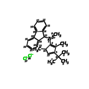 [CH2]=[Zr+2]([C]1=C(C)C(C(C)(C)C)=CC1C)[CH]1c2ccccc2-c2ccccc21.[Cl-].[Cl-]